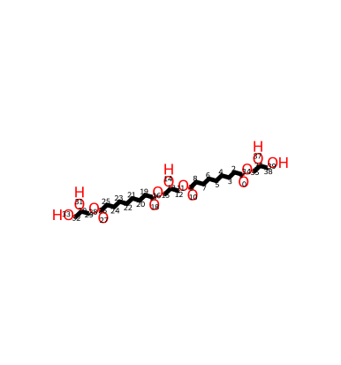 O=C(CCCCCCCC(=O)OCC(O)COC(=O)CCCCCCCC(=O)OCC(O)CO)OCC(O)CO